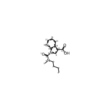 CCCCN(C)C(=O)n1cc(C(=O)O)c2cccnc21